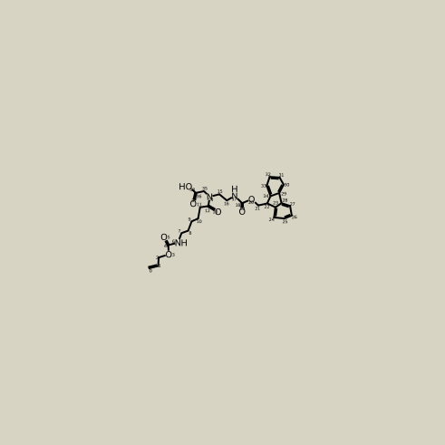 C=CCOC(=O)NCCCCCC(=O)N(CCNC(=O)OCC1c2ccccc2-c2ccccc21)CC(=O)O